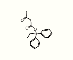 CCC(OC(=O)CC(C)=O)(c1ccccc1)c1ccccc1